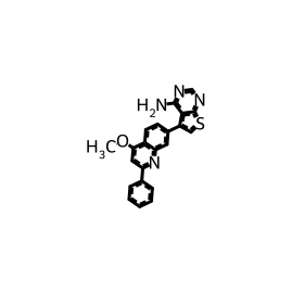 COc1cc(-c2ccccc2)nc2cc(-c3csc4ncnc(N)c34)ccc12